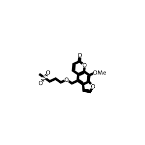 COc1c2occc2c(COCCCS(C)(=O)=O)c2ccc(=O)oc12